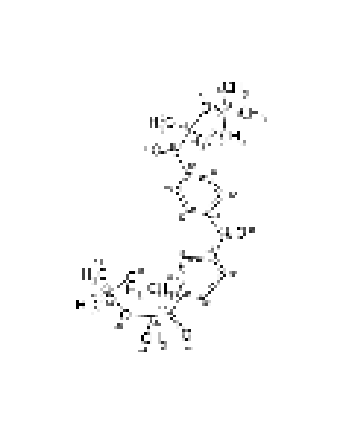 CC(C)(O[Si](C)(C)C)C(=O)c1ccc(C(=O)c2ccc(C(=O)C(C)(C)O[Si](C)(C)C)cc2)cc1